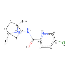 O=C(N[C@@H]1C[C@H]2CC[C@@H]1N2)c1ccc(Cl)cn1